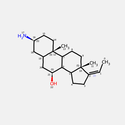 C/C=C1/CCC2C3C(CC[C@]12C)[C@@]1(C)CC[C@H](N)CC1C[C@@H]3O